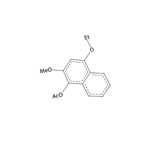 CCOc1cc(OC)c(OC(C)=O)c2ccccc12